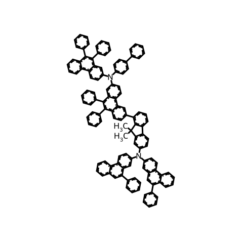 CC1(C)c2cc(N(c3ccc4c(c3)cc(-c3ccccc3)c3ccccc34)c3ccc4c(c3)c(-c3ccccc3)cc3ccccc34)ccc2-c2cccc(-c3ccc4c(-c5ccccc5)c(-c5ccccc5)c5cc(N(c6ccc(-c7ccccc7)cc6)c6ccc7c(c6)c(-c6ccccc6)c(-c6ccccc6)c6ccccc67)ccc5c4c3)c21